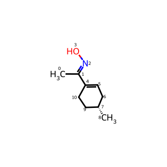 C/C(=N\O)C1=CC[C@H](C)CC1